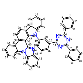 c1ccc(-c2nc(-c3ccccc3)nc(-c3cccc(-n4c5ccccc5c5ccc6c7ccccc7n7c8ccccc8nc7c6c54)c3)n2)cc1